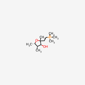 C=P(C)(C)CC[C@@]1(C)O[C@@H](C)[C@H](C)[C@@H]1O